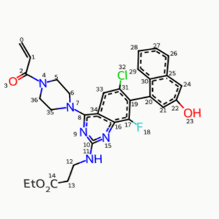 C=CC(=O)N1CCN(c2nc(NCCC(=O)OCC)nc3c(F)c(-c4cc(O)cc5ccccc45)c(Cl)cc23)CC1